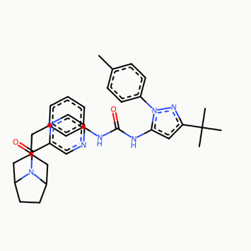 Cc1ccc(-n2nc(C(C)(C)C)cc2NC(=O)Nc2cccc(CC3CC4CCC(C3)N4C(=O)c3cnccn3)c2)cc1